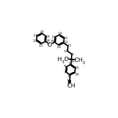 C#Cc1ccc(C(C)(C)CCCc2cccc(Oc3ccccc3)c2)cc1